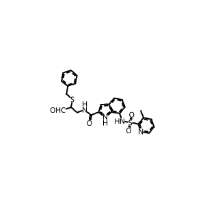 Cc1cccnc1S(=O)(=O)Nc1cccc2cc(C(=O)NCC(C=O)SCc3ccccc3)[nH]c12